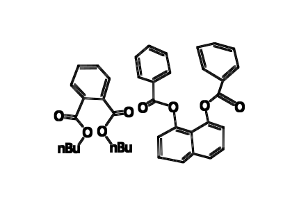 CCCCOC(=O)c1ccccc1C(=O)OCCCC.O=C(Oc1cccc2cccc(OC(=O)c3ccccc3)c12)c1ccccc1